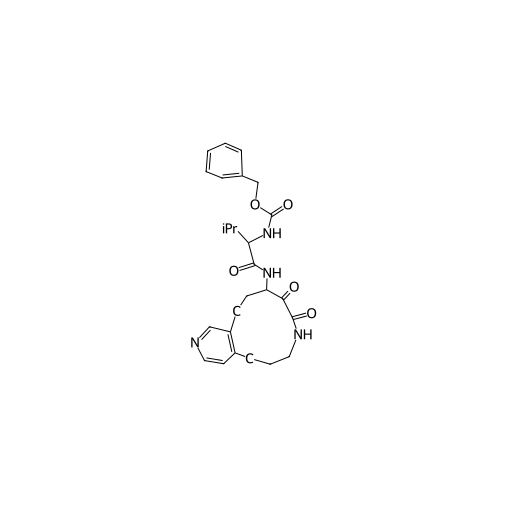 CC(C)C(NC(=O)OCc1ccccc1)C(=O)NC1CCc2cnccc2CCCNC(=O)C1=O